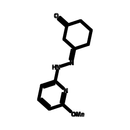 COc1cccc(NN=C2CCCC(=O)C2)n1